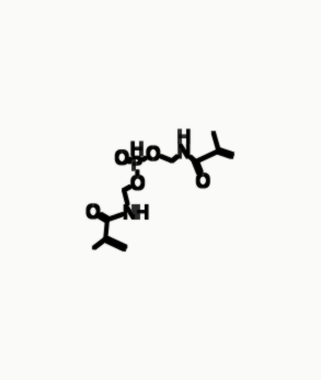 C=C(C)C(=O)NCO[PH](=O)OCNC(=O)C(=C)C